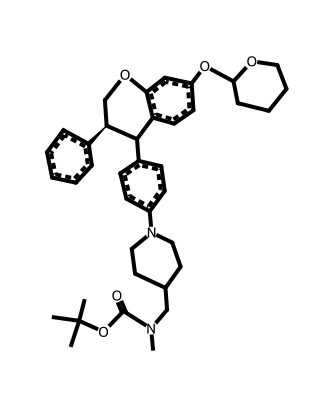 CN(CC1CCN(c2ccc(C3c4ccc(OC5CCCCO5)cc4OC[C@@H]3c3ccccc3)cc2)CC1)C(=O)OC(C)(C)C